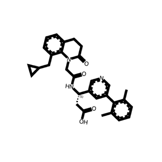 Cc1cccc(C)c1-c1cncc([C@H](CC(=O)O)NC(=O)CN2C(=O)CCc3cccc(CC4CC4)c32)c1